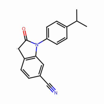 CC(C)c1ccc(N2C(=O)[C]c3ccc(C#N)cc32)cc1